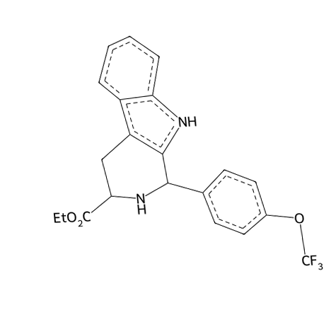 CCOC(=O)C1Cc2c([nH]c3ccccc23)C(c2ccc(OC(F)(F)F)cc2)N1